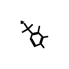 Cc1ccc(C(C)(C)Br)c(C)c1C